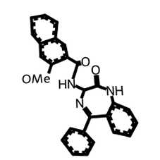 COc1cc2ccccc2cc1C(=O)NC1N=C(c2ccccc2)c2ccccc2NC1=O